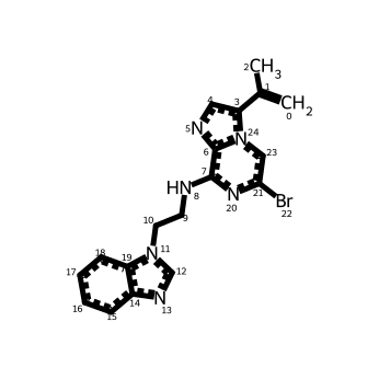 C=C(C)c1cnc2c(NCCn3cnc4ccccc43)nc(Br)cn12